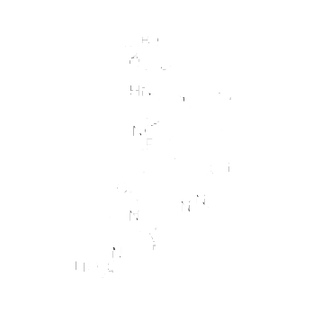 Cc1nn2c3c(cc(F)c(-c4ccc(F)c5sc(NC(=O)OC(C)(C)C)c(C#N)c45)c13)C(=O)N1CCN(C(=O)O)C[C@H]1CC2